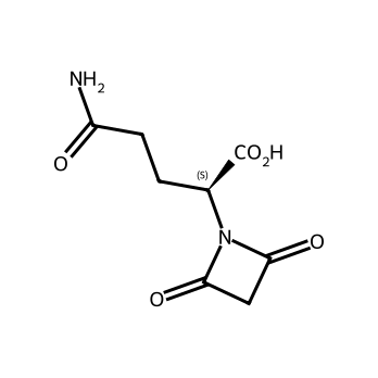 NC(=O)CC[C@@H](C(=O)O)N1C(=O)CC1=O